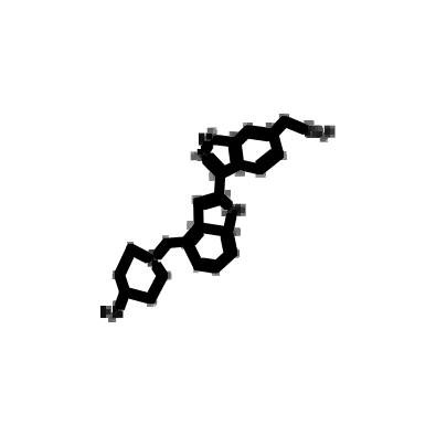 NC1CCN(Cc2cccc3[nH]c(-c4n[nH]c5cc(CC(=O)O)ccc45)cc23)CC1